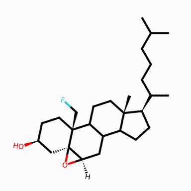 CC(C)CCCC(C)[C@H]1CCC2C3C[C@H]4O[C@]45C[C@@H](O)CC[C@]5(CF)C3CC[C@@]21C